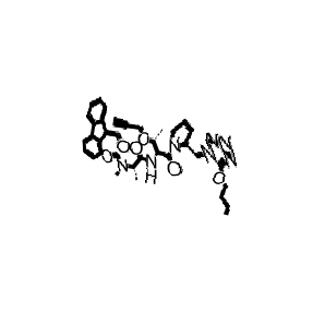 C#CCO[C@H](C)[C@H](NC(=O)[C@H](C)N(C)C(=O)OCC1c2ccccc2-c2ccccc21)C(=O)N1CCC[C@H]1Cn1nnnc1OCCCC